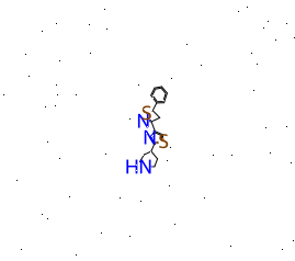 c1ccc(C2CC(c3csc(C4CCNCC4)n3)=NS2)cc1